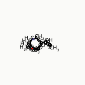 CCC1/C=C(\C)CC(C)CC(OC)C2OC(O)(C(=O)C(=O)N3CCCCC3C(=O)OC(C(C)=CC3CCC(Oc4ccc(C)cc4)C(O)C3)C(C)CCC1=O)C(C)CC2OC